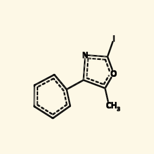 Cc1oc(I)nc1-c1ccccc1